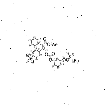 COC(=O)/C(=C(\COC(=O)Oc1cccc(CO[Si](C)(C)C(C)(C)C)c1)c1ccc(S(C)(=O)=O)cc1)c1ccccc1